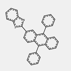 c1ccc(-c2c3ccccc3c(-c3ccccc3)c3cc(-c4nc5ccccc5s4)ccc23)cc1